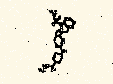 CCS(=O)(=O)Nc1nccnc1Cn1ccc2cnc(Nc3ccc(C(=O)NC)cc3)nc21